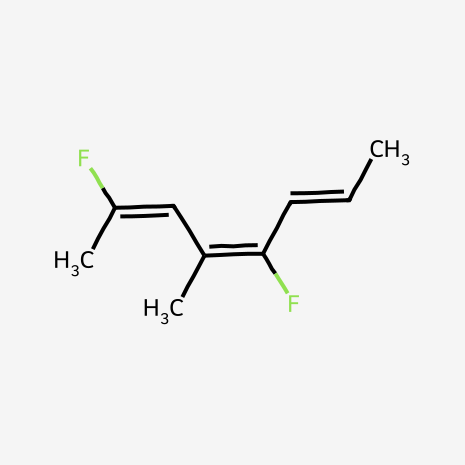 C/C=C/C(F)=C(C)\C=C(/C)F